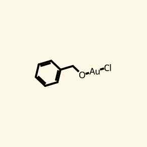 [Cl][Au][O]Cc1ccccc1